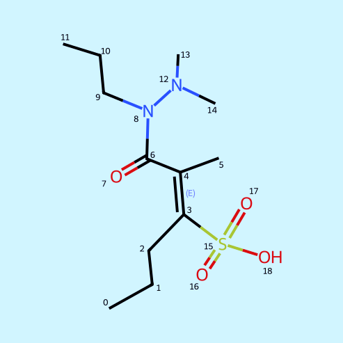 CCC/C(=C(/C)C(=O)N(CCC)N(C)C)S(=O)(=O)O